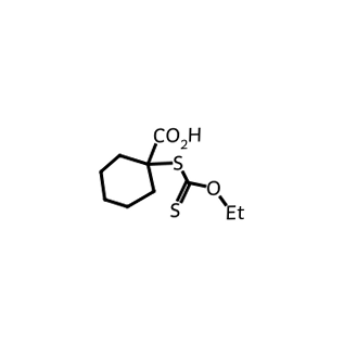 CCOC(=S)SC1(C(=O)O)CCCCC1